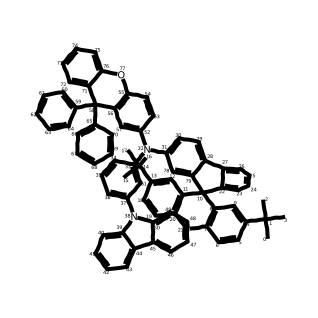 CC(C)(C)c1ccc2c(c1)C1(c3cc(C(C)(C)C)ccc3S2)c2ccccc2-c2ccc(N(c3cccc(-n4c5ccccc5c5ccccc54)c3)c3ccc4c(c3)C(c3ccccc3)(c3ccccc3)c3ccccc3O4)cc21